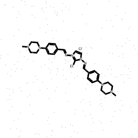 CCc1n(/N=C/c2ccc(N3CCN(C)CC3)cc2)cc[n+]1/N=C/c1ccc(N2CCN(C)CC2)cc1.[Cl-]